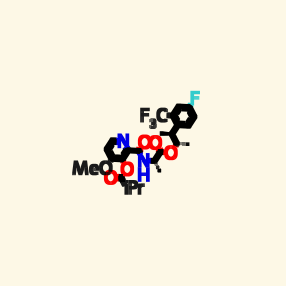 COc1ccnc(C(=O)N[C@@H](C)C(=O)O[C@@H](C)[C@@H](C)c2ccc(F)cc2C(F)(F)F)c1OC(=O)C(C)C